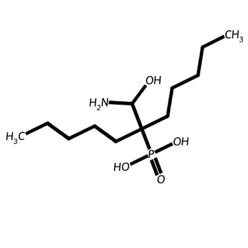 CCCCCC(CCCCC)(C(N)O)P(=O)(O)O